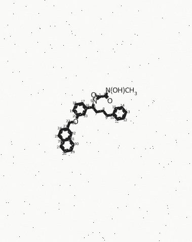 CN(O)C(=O)C1ON1C(CCCc1ccccc1)c1cccc(OCc2ccc3ccccc3c2)c1